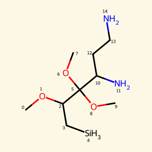 COC(C[SiH3])C(OC)(OC)C(N)CCN